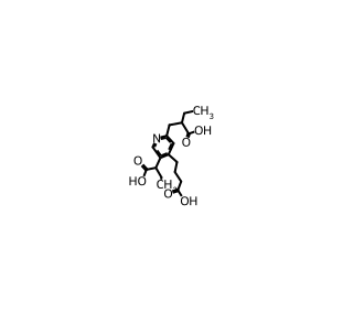 CCC(Cc1cc(CCCC(=O)O)c(C(CC)C(=O)O)cn1)C(=O)O